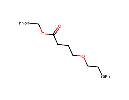 CCCCCCCCCCOC(=O)CCCOCCOCC(C)C